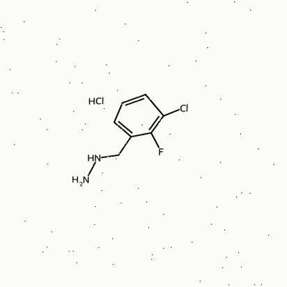 Cl.NNCc1cccc(Cl)c1F